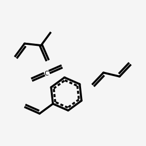 C=C=C.C=CC(=C)C.C=CC=C.C=Cc1ccccc1